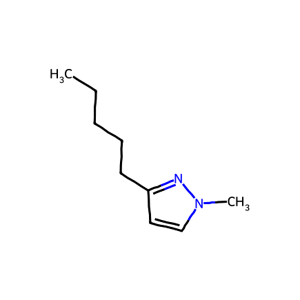 CCCCCc1ccn(C)n1